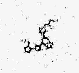 CCC1CCCC1n1cc(-c2nc(-c3cnn(CC(O)CO)c3)cn3nccc23)cn1